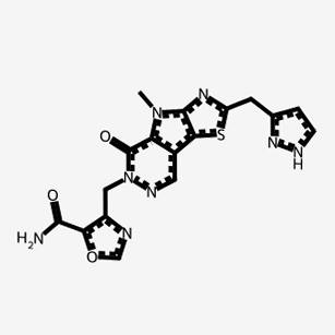 Cn1c2nc(Cc3cc[nH]n3)sc2c2cnn(Cc3ncoc3C(N)=O)c(=O)c21